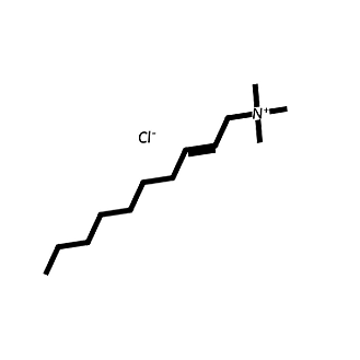 CCCCCCC/C=C/C[N+](C)(C)C.[Cl-]